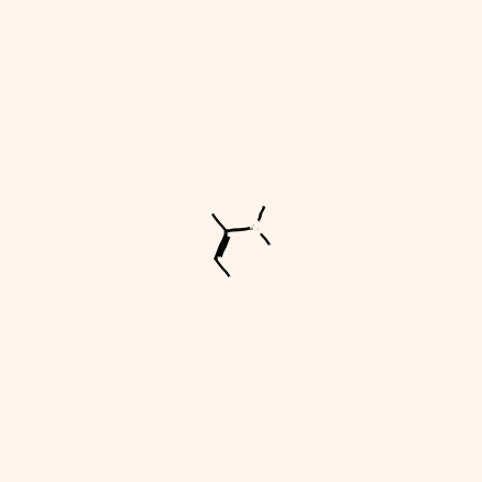 F/C=C(/F)N(F)F